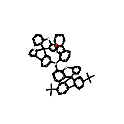 CC(C)(C)c1ccc2c(c1)C1(c3ccccc3Oc3c(N(c4ccc5c(c4)C4(c6ccccc6Oc6ccccc64)c4ccccc4-5)c4cccc5c4sc4ccccc45)cccc31)c1cc(C(C)(C)C)ccc1-2